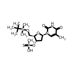 Cc1cn([C@H]2C[C@H](O[P@](C)(O)=S)[C@@H](CO[Si](C)(C)C(C)(C)C)O2)c(=O)[nH]c1=O